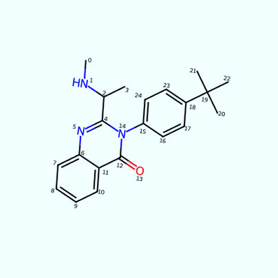 CNC(C)c1nc2ccccc2c(=O)n1-c1ccc(C(C)(C)C)cc1